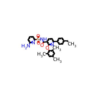 CCc1ccc(-c2ccc(C(=O)NS(=O)(=O)c3cccc(N)n3)c(Oc3c(C)cc(C)cc3C)n2)cc1